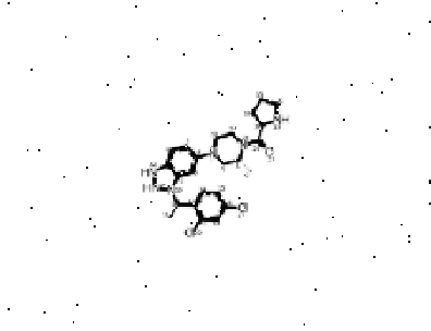 C[C@@H]1CN(c2ccc3c(c2)N([C@H](C)c2ccc(Cl)cc2Cl)NN3)CCN1C(=O)[C@H]1CCCN1